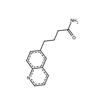 NC(=O)CCCc1ccc2ncccc2c1